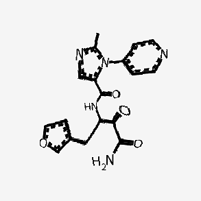 Cc1ncc(C(=O)NC(Cc2ccoc2)C(=O)C(N)=O)n1-c1ccncc1